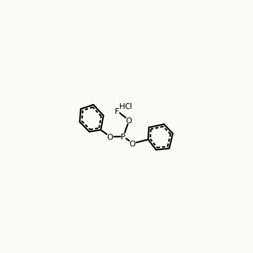 Cl.FOP(Oc1ccccc1)Oc1ccccc1